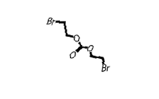 O=C(OCCBr)OCCBr